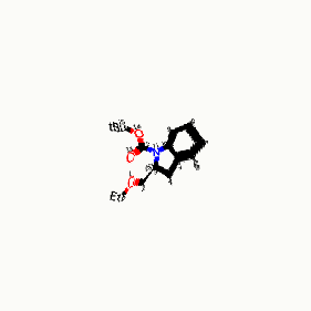 CCOC[C@@H]1Cc2ccccc2N1C(=O)OC(C)(C)C